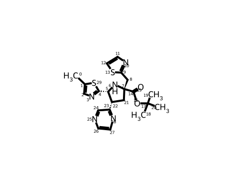 Cc1cnc([C@@H]2N[C@](Cc3nccs3)(C(=O)OC(C)(C)C)C[C@@H]2c2cnccn2)s1